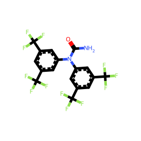 NC(=O)N(c1cc(C(F)(F)F)cc(C(F)(F)F)c1)c1cc(C(F)(F)F)cc(C(F)(F)F)c1